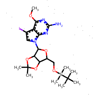 COc1nc(N)nc2c1c(I)cn2C1OC(CO[Si](C)(C)C(C)(C)C)C2OC(C)(C)OC21